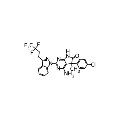 CC1(c2ccc(Cl)cc2)C(=O)Nc2nc(-n3nc(CCC(F)(F)C(F)(F)F)c4ccccc43)nc(N)c21